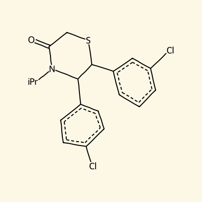 CC(C)N1C(=O)CSC(c2cccc(Cl)c2)C1c1ccc(Cl)cc1